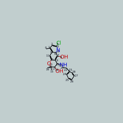 Cc1cc(Cl)nc2c(O)c3c(cc12)OC(C)(C)C(O)C3NCCc1ccccc1